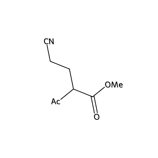 COC(=O)C(CCC#N)C(C)=O